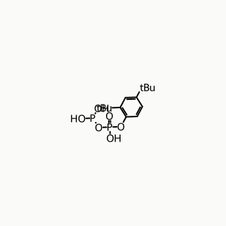 CC(C)(C)c1ccc(OP(=O)(O)OP(O)O)c(C(C)(C)C)c1